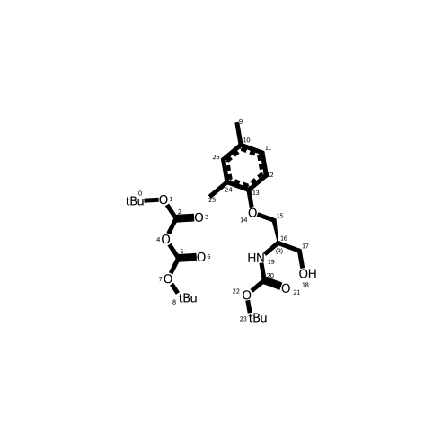 CC(C)(C)OC(=O)OC(=O)OC(C)(C)C.Cc1ccc(OC[C@@H](CO)NC(=O)OC(C)(C)C)c(C)c1